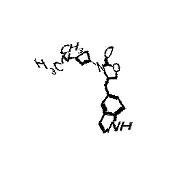 CN(C)[C@H]1C[C@H](N2C(=O)OCC2Cc2ccc3[nH]ccc3c2)C1